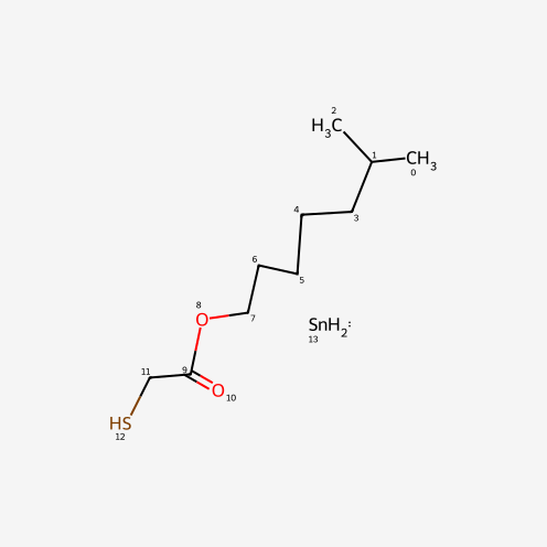 CC(C)CCCCCOC(=O)CS.[SnH2]